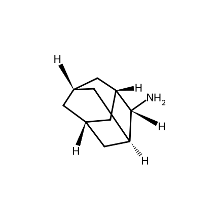 N[C@H]1[C@H]2C[C@H]3C[C@H](C2)C[C@H]1C3